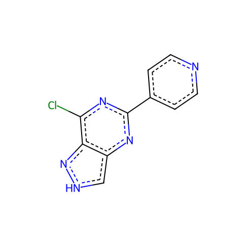 Clc1nc(-c2ccncc2)nc2c[nH]nc12